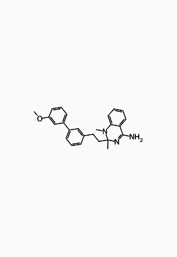 COc1cccc(-c2cccc(CCC3(C)N=C(N)c4ccccc4N3C)c2)c1